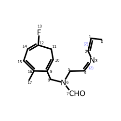 C/C=C\N=C/CN(C=O)CC1=CCC(F)=CC=C1C